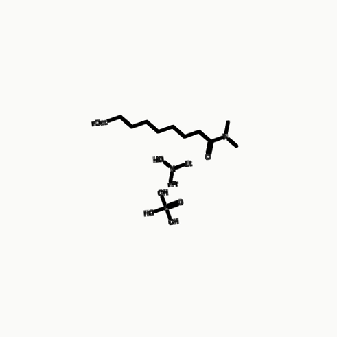 CCCCCCCCCCCCCCCCCC(=O)N(C)C.CCCN(O)CC.O=P(O)(O)O